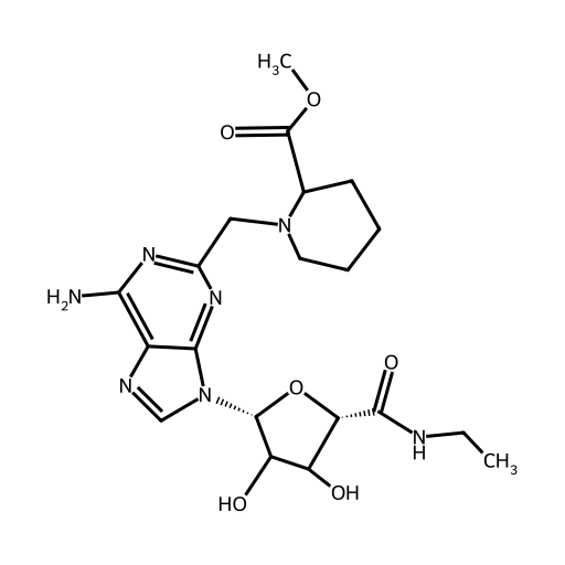 CCNC(=O)[C@H]1O[C@@H](n2cnc3c(N)nc(CN4CCCCC4C(=O)OC)nc32)C(O)C1O